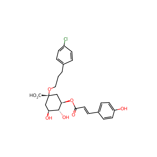 O=C(C=Cc1ccc(O)cc1)O[C@@H]1C[C@](OCCCc2ccc(Cl)cc2)(C(=O)O)C[C@H](O)[C@H]1O